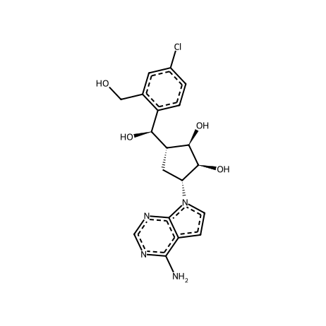 Nc1ncnc2c1ccn2[C@@H]1C[C@H]([C@@H](O)c2ccc(Cl)cc2CO)[C@@H](O)[C@H]1O